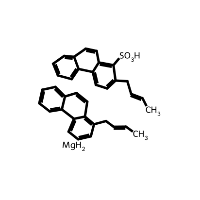 CC=CCc1ccc2c(ccc3ccccc32)c1S(=O)(=O)O.CC=CCc1cccc2c1ccc1ccccc12.[MgH2]